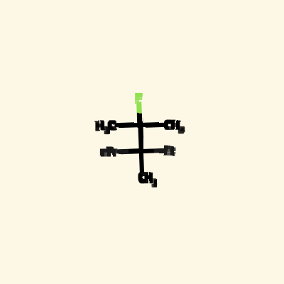 CCCC(C)(CC)C(C)(C)F